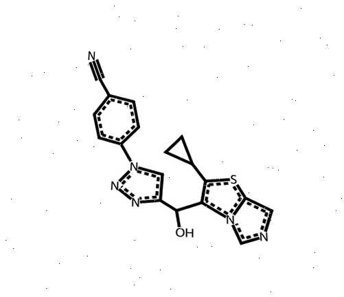 N#Cc1ccc(-n2cc(C(O)c3c(C4CC4)sc4cncn34)nn2)cc1